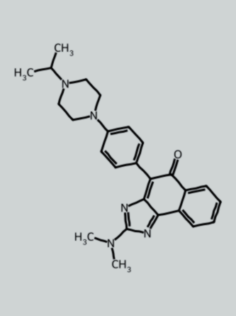 CC(C)N1CCN(c2ccc(C3=C4N=C(N(C)C)N=C4c4ccccc4C3=O)cc2)CC1